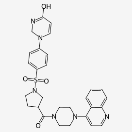 O=C(C1CCN(S(=O)(=O)c2ccc(N3C=CC(O)=NC3)cc2)C1)N1CCN(c2ccnc3ccccc23)CC1